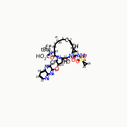 CC[C@@H]1C[C@H](C)CCC=C[C@@H]2C[C@@]2(C(=O)NS(=O)(=O)C2CC2)NC(=O)[C@@H]2C[C@@H](Oc3nc4ncccc4nc3C(F)(F)F)CN2C(=O)[C@H]1N(C(=O)O)C(C)(C)C